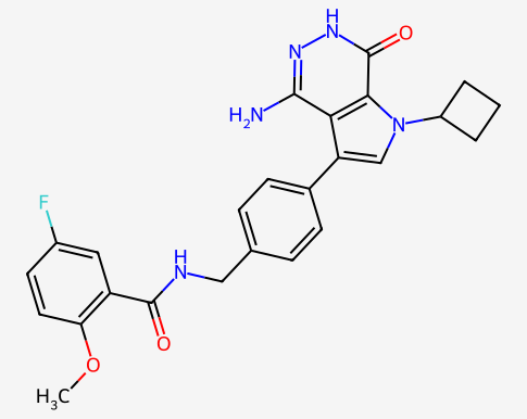 COc1ccc(F)cc1C(=O)NCc1ccc(-c2cn(C3CCC3)c3c(=O)[nH]nc(N)c23)cc1